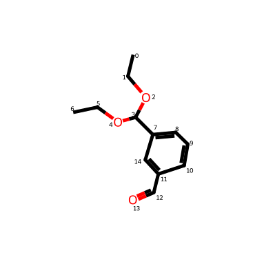 CCOC(OCC)c1cccc(C=O)c1